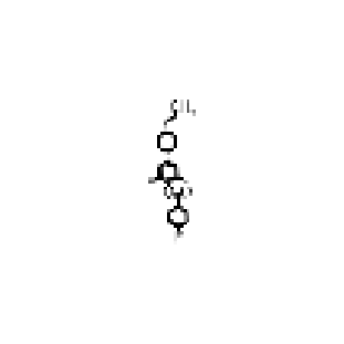 CCC[C@H]1CC[C@H](c2cc(F)c(OC(=O)C3CC=C(F)CC3)c(F)c2)CC1